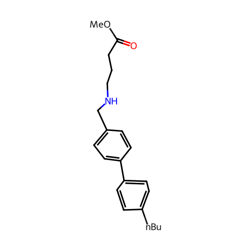 CCCCc1ccc(-c2ccc(CNCCCC(=O)OC)cc2)cc1